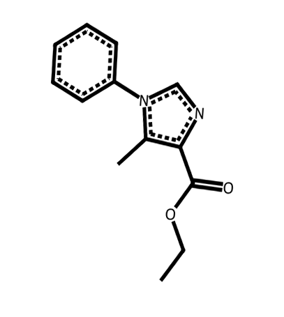 CCOC(=O)c1ncn(-c2ccccc2)c1C